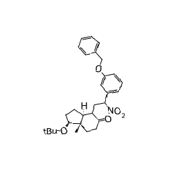 CC(C)(C)O[C@H]1CC[C@H]2C(CC(c3cccc(OCc4ccccc4)c3)[N+](=O)[O-])C(=O)CC[C@]12C